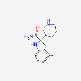 Cc1cccc2c1CC(C(N)=O)(C1CCCNC1)N2